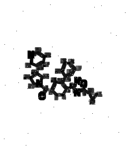 O=C(c1ccc(-c2noc(C3CC3)n2)c(-c2ccccc2)c1)N1CCC(c2cccnc2)C1